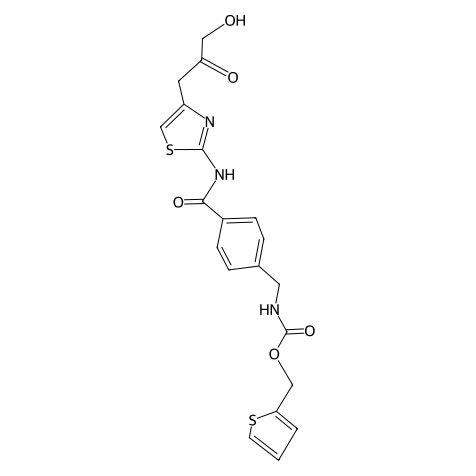 O=C(CO)Cc1csc(NC(=O)c2ccc(CNC(=O)OCc3cccs3)cc2)n1